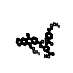 COCOc1ccc(C(=O)NC2CN(C(=O)O)CC2OC(=O)c2ccc(C(=O)c3cc4c(cc3OCOC)OCO4)cc2)cc1